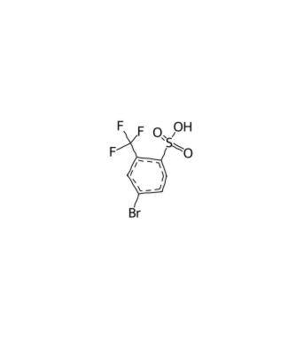 O=S(=O)(O)c1ccc(Br)cc1C(F)(F)F